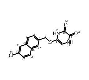 O=c1[nH]cc(SCc2ccc3cc(Cl)ccc3c2)[nH]c1=O